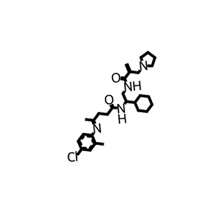 C=C(CN1CCCC1)C(=O)NCC(NC(=O)CC/C(C)=N/c1ccc(Cl)cc1C)C1CCCCC1